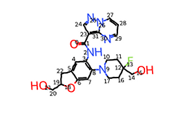 O=C(Nc1cc2c(cc1N1CCC(F)(CO)CC1)OC(CO)C2)c1cnn2cccnc12